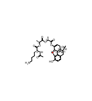 CC(=O)N[C@@H](CCCCN)C(=O)O[C@@H](C)C(=O)O[C@@H](C)C(=O)OC1=CC[C@@]2(O)[C@H]3Cc4ccc(O)c5c4[C@@]2(CCN3C)[C@H]1O5